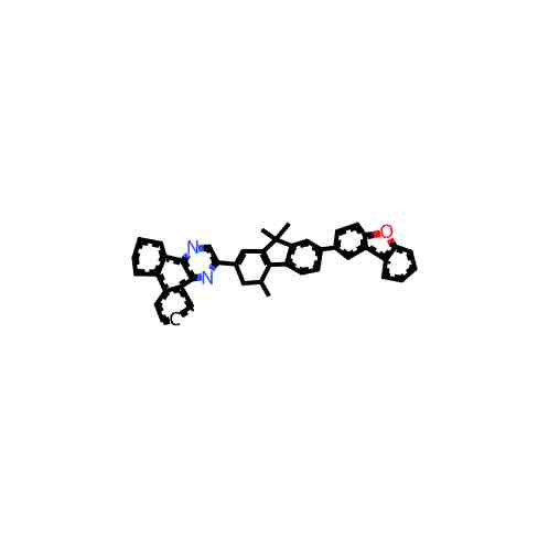 CC1CC(c2cnc3c4ccccc4c4ccccc4c3n2)=CC2=C1c1ccc(-c3ccc4oc5ccccc5c4c3)cc1C2(C)C